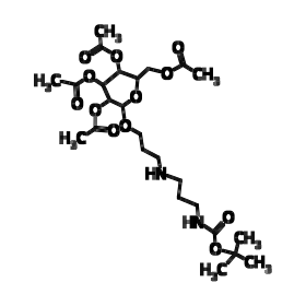 CC(=O)OCC1OC(OCCCNCCCNC(=O)OC(C)(C)C)C(OC(C)=O)C(OC(C)=O)C1OC(C)=O